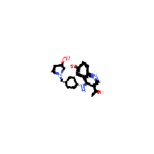 CC(=O)c1cnc2ccc(Br)cc2c1N[C@H]1CC[C@H](CN2CCC(O)C2)CC1